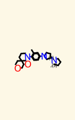 Cc1cc(N2CC[C@@H](N3CCC[C@@H]3C)C2)ccc1N1CCCC2(CCOCC2)C1=O